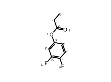 CCC(=O)Oc1ccc(F)c(F)c1